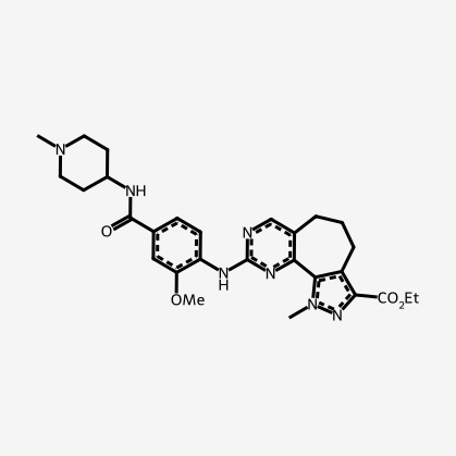 CCOC(=O)c1nn(C)c2c1CCCc1cnc(Nc3ccc(C(=O)NC4CCN(C)CC4)cc3OC)nc1-2